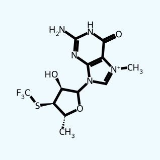 C[C@H]1OC(n2c[n+](C)c3c(=O)[nH]c(N)nc32)[C@H](O)[C@@H]1SC(F)(F)F